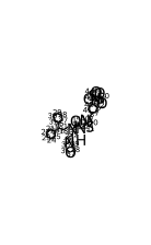 CS(=O)(=O)N(c1ccc(-c2csc(NC(=O)N(CCC(c3ccccc3)c3ccccc3)CCN3CCOCC3)n2)cc1)S(C)(=O)=O